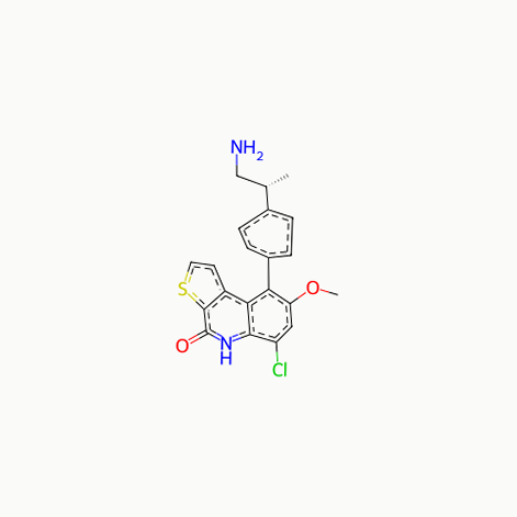 COc1cc(Cl)c2[nH]c(=O)c3sccc3c2c1-c1ccc([C@@H](C)CN)cc1